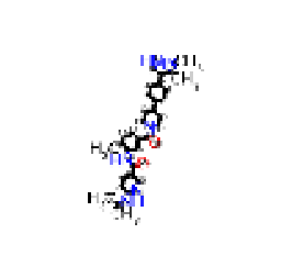 CN/C(C)=C(\C=N)c1ccc(C2CCN(C(=O)c3ccc(C)c(NC(=O)c4ccc(NC(C)C)nc4)c3)CC2)cc1